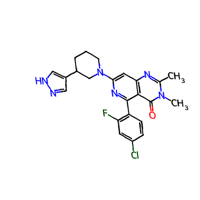 Cc1nc2cc(N3CCCC(c4cn[nH]c4)C3)nc(-c3ccc(Cl)cc3F)c2c(=O)n1C